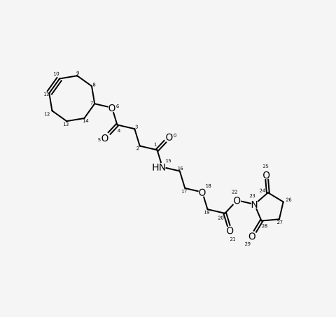 O=C(CCC(=O)OC1CCC#CCCC1)NCCOCC(=O)ON1C(=O)CCC1=O